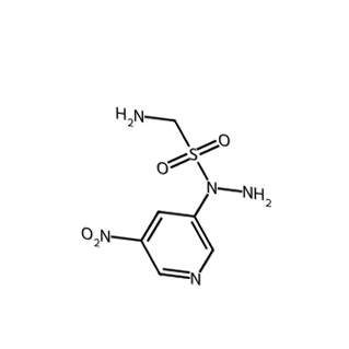 NCS(=O)(=O)N(N)c1cncc([N+](=O)[O-])c1